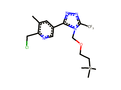 Cc1cc(-c2nnc(C(F)(F)F)n2COCC[Si](C)(C)C)cnc1CCl